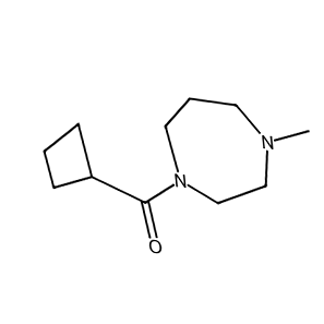 CN1CCCN(C(=O)C2CCC2)CC1